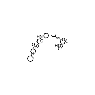 CC(/C=C/[C@@H]1C[C@](O)(CCl)CC(C)(C)O1)=C\C[C@H]1CC[C@@H](NC(=O)/C=C\[C@H](C)OC(=O)N2CCN(C3CCCCCC3)CC2)CC1